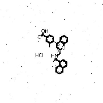 Cc1cc(C(=O)O)ccc1[C@@H]1C[C@H](CN[C@H](C)c2cccc3ccccc23)Oc2ccccc21.Cl